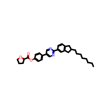 CCCCCCCCC1Cc2ccc(-c3ncc(-c4ccc(OC(=O)C5CCCO5)cc4)cn3)cc2C1